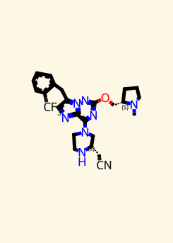 CN1CCC[C@H]1COc1nc(N2CCN[C@@H](CC#N)C2)c2ncc(Cc3ccccc3C(F)(F)F)n2n1